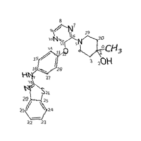 CC1(O)CCN(c2nccnc2Oc2ccc(Nc3nc4ccccc4s3)cc2)CC1